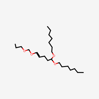 CCCCCCCOC(CCC=COCOCCC)OCCCCCCC